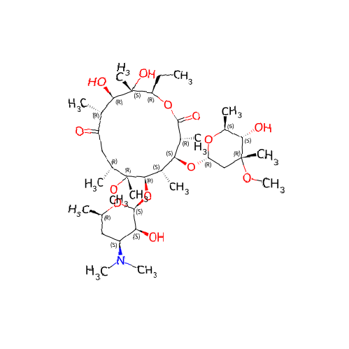 CC[C@H]1OC(=O)[C@H](C)[C@@H](O[C@H]2C[C@@](C)(OC)[C@@H](O)[C@H](C)O2)[C@H](C)[C@@H](O[C@@H]2O[C@H](C)C[C@H](N(C)C)[C@@H]2O)[C@](C)(OC)[C@H](C)CC(=O)[C@H](C)[C@@H](O)[C@]1(C)O